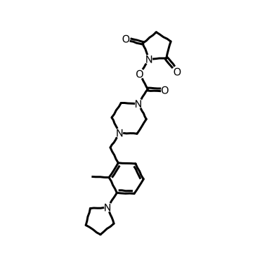 Cc1c(CN2CCN(C(=O)ON3C(=O)CCC3=O)CC2)cccc1N1CCCC1